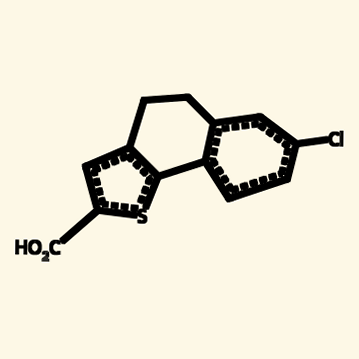 O=C(O)c1cc2c(s1)-c1ccc(Cl)cc1CC2